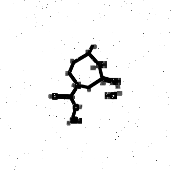 CC1CCN(C(=O)OC(C)(C)C)CC(=N)N1.Cl